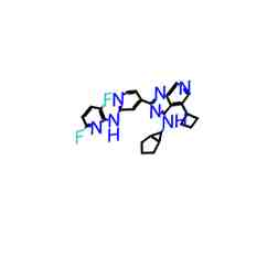 Fc1ccc(F)c(Nc2cc(-c3nc(NC4C5CCCC54)c4c(C5CCC5)cncc4n3)ccn2)n1